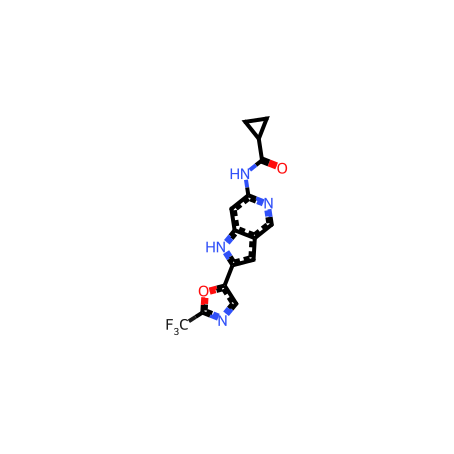 O=C(Nc1cc2[nH]c(-c3cnc(C(F)(F)F)o3)cc2cn1)C1CC1